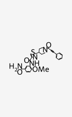 COc1ccc(C(N)=O)cc1NC(=O)c1csc(C2CCN(C(=O)C#Cc3ccccc3)CC2)n1